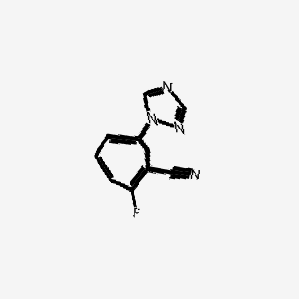 N#Cc1c(F)cccc1-n1cncn1